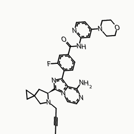 CC#CCN1CC2(CC2)C[C@H]1c1nc(-c2ccc(C(=O)Nc3cc(N4CCOCC4)ccn3)cc2F)c2c(N)nccn12